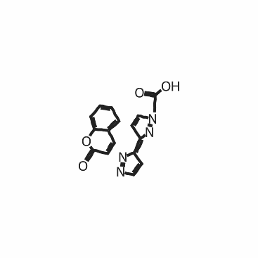 C1=CC(=C2C=CN=N2)N=N1.CC(=O)O.O=c1ccc2ccccc2o1